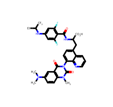 CCC(Nc1cc(F)c(C(=O)NC(Cc2ccc(-n3c(=O)c4cc(N(C)C)ccc4n(C)c3=O)c3ncccc23)C(=O)O)c(F)c1)C(F)(F)F